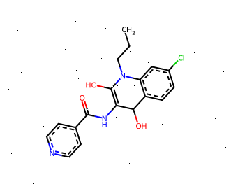 CCCN1C(O)=C(NC(=O)c2ccncc2)C(O)c2ccc(Cl)cc21